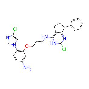 Nc1ccc(-n2cnc(Cl)c2)c(OCCCNC2=C3CCC(c4ccccc4)C3=NC(Cl)N2)c1